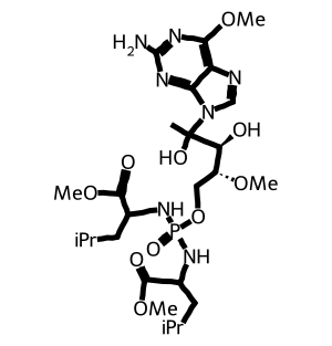 COC(=O)C(CC(C)C)NP(=O)(NC(CC(C)C)C(=O)OC)OC[C@@H](OC)[C@H](O)C(C)(O)n1cnc2c(OC)nc(N)nc21